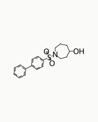 O=S(=O)(c1ccc(-c2ccccc2)cc1)N1CCCC(O)CC1